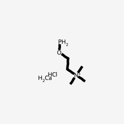 C[N+](C)(C)CCOP.Cl.[CaH2]